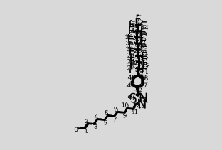 CCCCCCCCCCCCc1nnc(-c2ccc(C(F)(F)C(F)(F)C(F)(F)C(F)(F)C(F)(F)C(F)(F)C(F)(F)C(F)(F)F)cc2)s1